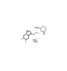 Cc1cc2ncn(CCC[C@H]3NCCC[C@@H]3O)c2cc1C.Cl.Cl